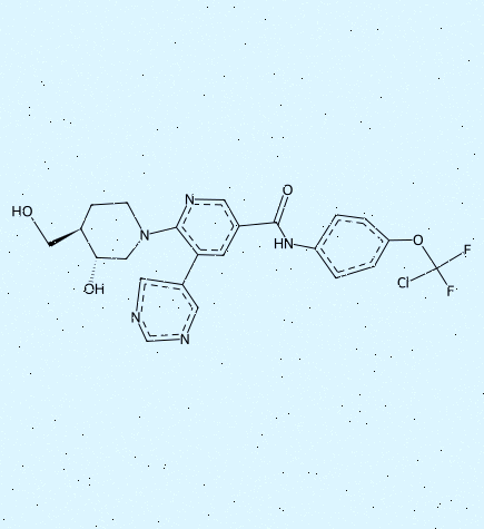 O=C(Nc1ccc(OC(F)(F)Cl)cc1)c1cnc(N2CC[C@H](CO)[C@@H](O)C2)c(-c2cncnc2)c1